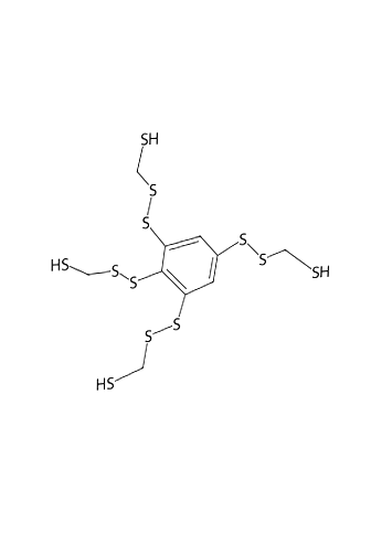 SCSSc1cc(SSCS)c(SSCS)c(SSCS)c1